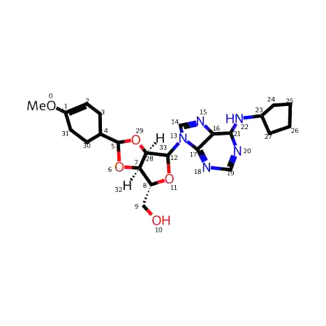 COC1=CCC(C2O[C@@H]3[C@@H](CO)OC(N4C=NC5C4=NC=NC5NC4CCCC4)[C@@H]3O2)CC1